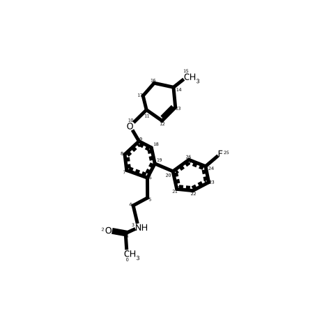 CC(=O)NCCc1ccc(OC2C=CC(C)CC2)cc1-c1cccc(F)c1